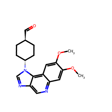 COc1cc2ncc3ncn([C@H]4CC[C@H](C=O)CC4)c3c2cc1OC